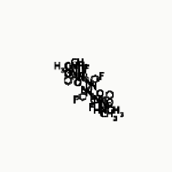 CN[C@H](C)C(=O)N[C@@H](C(=O)N1CC(F)C[C@H]1Cn1c(-c2nc3cc(F)ccc3n2C[C@@H]2CC(F)CN2C(=O)[C@H](NC(=O)[C@@H](C)NC)C2CCCCC2)nc2cc(F)ccc21)C1CCCCC1